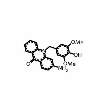 COc1cc(Cn2c3ccccc3c(=O)c3ccc(N)cc32)cc(OC)c1O